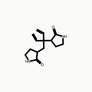 C=CC(C=C)(CC1CCNC1=O)C1CCNC1=O